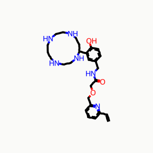 C=Cc1cccc(COCC(=O)NCc2ccc(O)c(C3CCNCCNCCCNCCN3)c2)n1